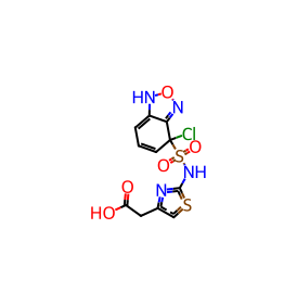 O=C(O)Cc1csc(NS(=O)(=O)C2(Cl)C=CC=C3NON=C32)n1